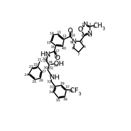 Cc1noc(C2CCCN2C(=O)c2cccc(C(=O)N[C@@H](Cc3ccccc3)[C@@H](O)CNCc3cccc(C(F)(F)F)c3)c2)n1